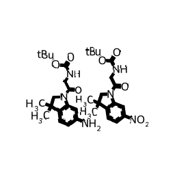 CC(C)(C)OC(=O)NCC(=O)N1CC(C)(C)c2ccc(N)cc21.CC(C)(C)OC(=O)NCC(=O)N1CC(C)(C)c2ccc([N+](=O)[O-])cc21